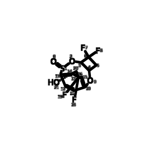 O=S1OC2C(CC2(F)F)Oc2ccc1c1c2CC(F)(F)[C@H]1O